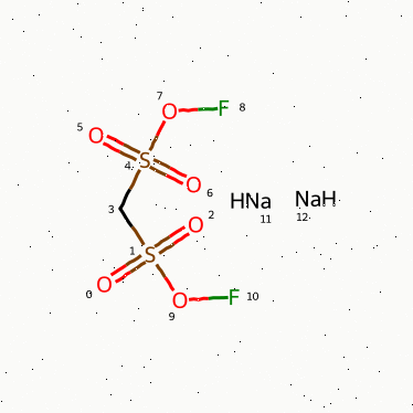 O=S(=O)(CS(=O)(=O)OF)OF.[NaH].[NaH]